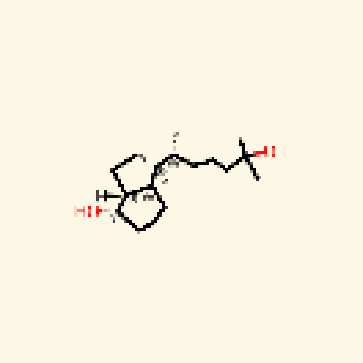 C[C@H](CCCC(C)(C)O)[C@H]1CC[C@H]2[C@@H](O)CCC[C@]12C